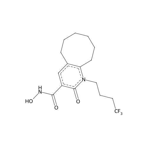 O=C(NO)c1cc2c(n(CCCC(F)(F)F)c1=O)CCCCCC2